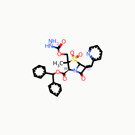 CC1(COC(=O)NN)[C@H](C(=O)OC(c2ccccc2)c2ccccc2)N2C(=O)/C(=C/c3ccccn3)C2S1(=O)=O